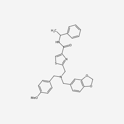 COc1ccc(CN(Cc2ccc3c(c2)OCO3)Cc2nc(C(=O)NC(C)c3ccccc3)cs2)cc1